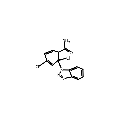 NC(=O)C1C=CC(Cl)=CC1(Cl)n1nnc2ccccc21